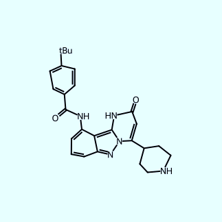 CC(C)(C)c1ccc(C(=O)Nc2cccc3nn4c(C5CCNCC5)cc(=O)[nH]c4c23)cc1